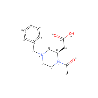 CC(=O)N1CCN(Cc2ccccc2)C[C@H]1CC(=O)O